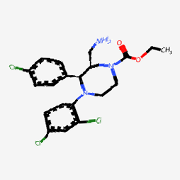 CCOC(=O)N1CCN(c2ccc(Cl)cc2Cl)[C@@H](c2ccc(Cl)cc2)[C@H]1CN